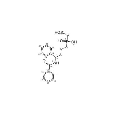 O=C(O)CP(=O)(O)CCCC(NC(=O)c1ccccc1)c1ccccc1